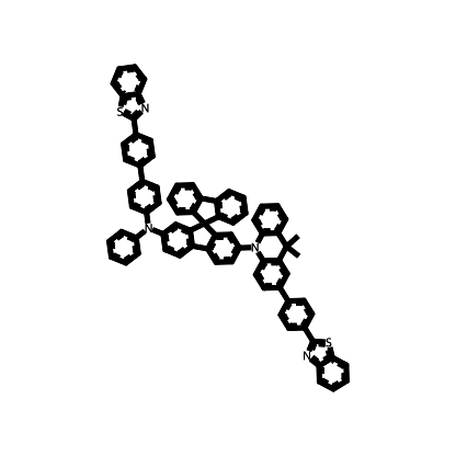 CC1(C)c2ccccc2N(c2ccc3c(c2)C2(c4ccccc4-c4ccccc42)c2cc(N(c4ccccc4)c4ccc(-c5ccc(-c6nc7ccccc7s6)cc5)cc4)ccc2-3)c2ccc(-c3ccc(-c4nc5ccccc5s4)cc3)cc21